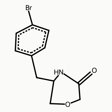 O=C1COCC(Cc2ccc(Br)cc2)N1